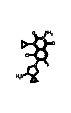 NC1CN(c2c(F)cc3c(=O)n(N)c(=O)n(C4CC4)c3c2Cl)CC12CC2